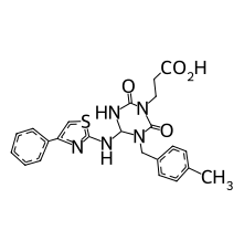 Cc1ccc(CN2C(=O)N(CCC(=O)O)C(=O)NC2Nc2nc(-c3ccccc3)cs2)cc1